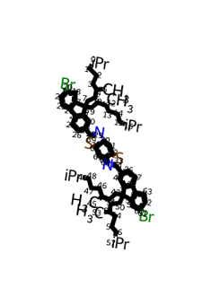 CC(C)CCCC(C)CCC1(CCC(C)CCCC(C)C)c2cc(Br)ccc2-c2ccc(-c3nc4cc5sc(-c6ccc7c(c6)C(CCC(C)CCCC(C)C)(CCC(C)CCCC(C)C)c6cc(Br)ccc6-7)nc5cc4s3)cc21